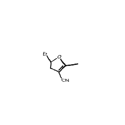 CCC1CC(C#N)=C(C)O1